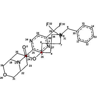 O=C(OC1CC2(C1)CN(Cc1ccccc1)C2)N1C2COCC1CN(c1cnc(C(F)(F)F)cn1)C2